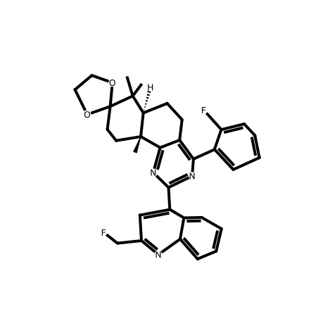 CC1(C)[C@H]2CCc3c(-c4ccccc4F)nc(-c4cc(CF)nc5ccccc45)nc3[C@]2(C)CCC12OCCO2